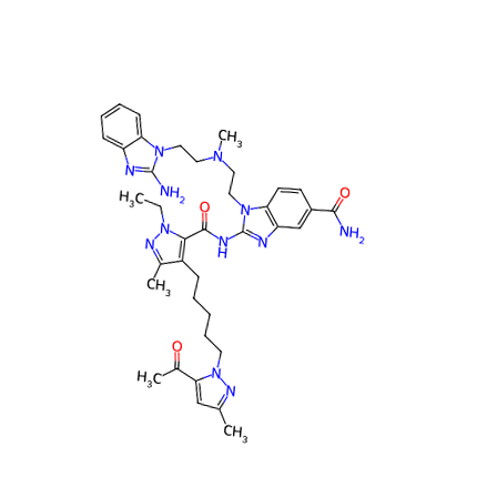 CCn1nc(C)c(CCCCCn2nc(C)cc2C(C)=O)c1C(=O)Nc1nc2cc(C(N)=O)ccc2n1CCN(C)CCn1c(N)nc2ccccc21